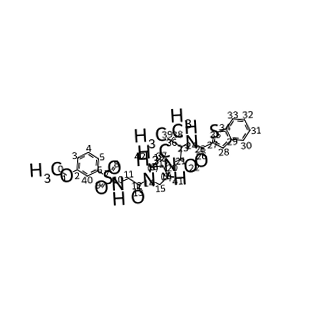 COc1cccc(S(=O)(=O)NCC(=O)N2C[C@@H]3C[C@H]2CN3C(=O)C(NC(=O)c2cc3ccccc3s2)C(C)(C)C)c1